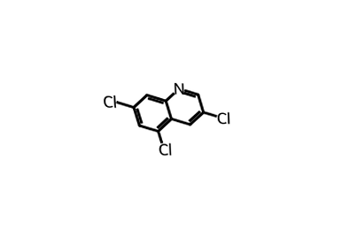 Clc1cc(Cl)c2cc(Cl)cnc2c1